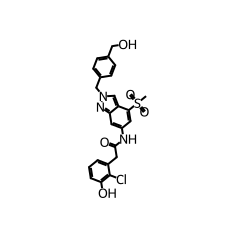 CS(=O)(=O)c1cc(NC(=O)Cc2cccc(O)c2Cl)cc2nn(Cc3ccc(CO)cc3)cc12